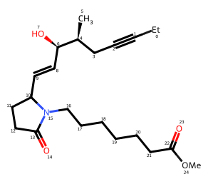 CCC#CC[C@H](C)[C@H](O)C=CC1CCC(=O)N1CCCCCCC(=O)OC